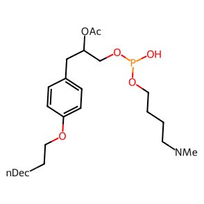 CCCCCCCCCCCCOc1ccc(CC(COP(O)OCCCCNC)OC(C)=O)cc1